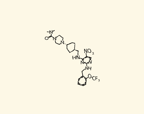 CN(C)C(=O)N1CCN([C@H]2CC[C@H](CNc3nc(NCc4ccccc4OC(F)(F)F)ncc3[N+](=O)[O-])CC2)CC1